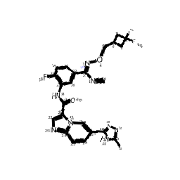 C=N/C(=N\OCC1CC(F)(F)C1)c1ccc(F)c(NC(=O)c2cnc3ccc(-c4nnc(C)[nH]4)cn23)c1